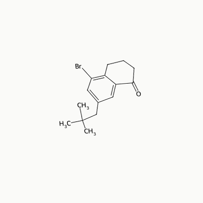 CC(C)(C)Cc1cc(Br)c2c(c1)C(=O)CCC2